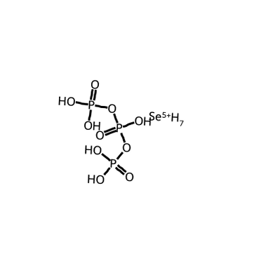 O=P(O)(O)OP(=O)(O)OP(=O)(O)O.[SeH7+5]